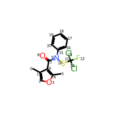 Cc1coc(C)c1C(=O)N(SC(F)(Cl)Cl)c1ccccc1